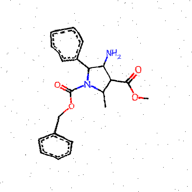 COC(=O)C1C(N)C(c2ccccc2)N(C(=O)OCc2ccccc2)C1C